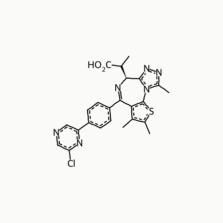 Cc1sc2c(c1C)C(c1ccc(-c3cncc(Cl)n3)cc1)=N[C@@H](C(C)C(=O)O)c1nnc(C)n1-2